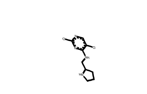 Clc1ncc(Cl)c(NCC2CCCN2)n1